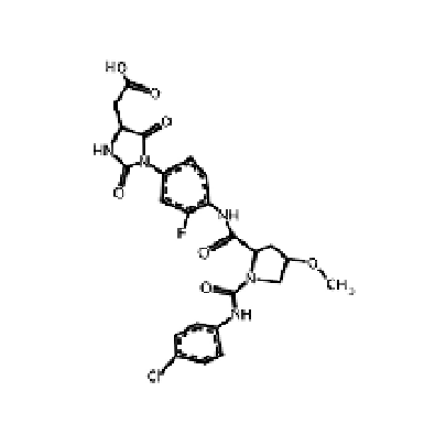 COC1CC(C(=O)Nc2ccc(N3C(=O)NC(CC(=O)O)C3=O)cc2F)N(C(=O)Nc2ccc(Cl)cc2)C1